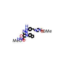 CONC(=O)c1cn(-c2ccc3c(c2)CCC3)c2nc(Nc3ccc(CCN4CCN(SOOC)CC4)cc3)ncc2c1=O